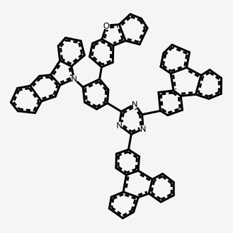 c1ccc2cc3c(cc2c1)c1ccccc1n3-c1ccc(-c2nc(-c3ccc4c5ccccc5c5ccccc5c4c3)nc(-c3ccc4c5ccccc5c5ccccc5c4c3)n2)cc1-c1ccc2oc3ccccc3c2c1